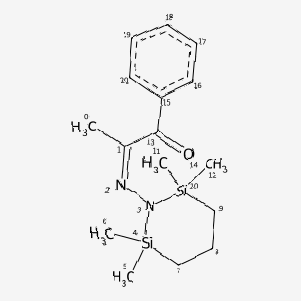 CC(=NN1[Si](C)(C)CCC[Si]1(C)C)C(=O)c1ccccc1